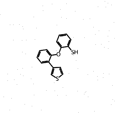 Sc1ccccc1Oc1ccccc1-c1ccsc1